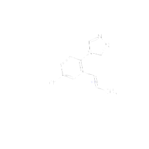 C/C=C/c1cc(Cl)ccc1-n1cnnc1